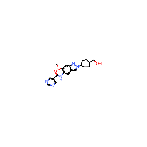 COc1cc2nn(C3CCC(CO)CC3)cc2cc1NC(=O)c1cncnc1